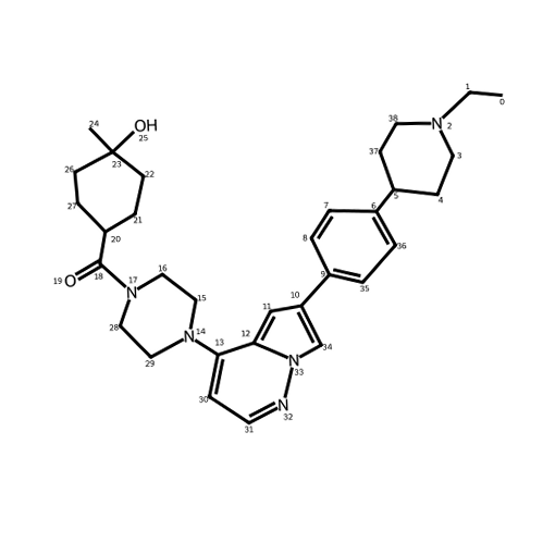 CCN1CCC(c2ccc(-c3cc4c(N5CCN(C(=O)C6CCC(C)(O)CC6)CC5)ccnn4c3)cc2)CC1